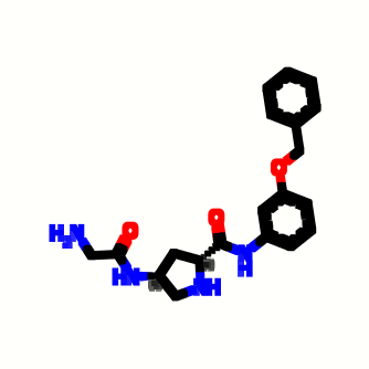 NCC(=O)N[C@@H]1CN[C@@H](C(=O)Nc2cccc(OCc3ccccc3)c2)C1